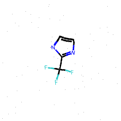 FC(F)(F)C1=NC=C[N]1